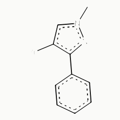 Cn1cc(Br)c(-c2ccccc2)n1